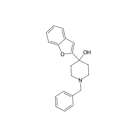 OC1(c2cc3ccccc3o2)CCN(Cc2ccccc2)CC1